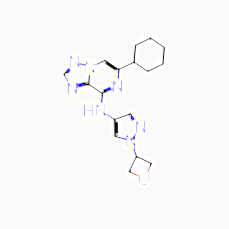 c1nc2c(Nc3cnn(C4COC4)c3)nc(C3CCCCC3)cn2n1